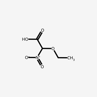 CCOC(C(=O)O)[N+](=O)[O-]